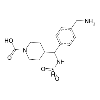 NCc1ccc(C(N[SH](=O)=O)C2CCN(C(=O)O)CC2)cc1